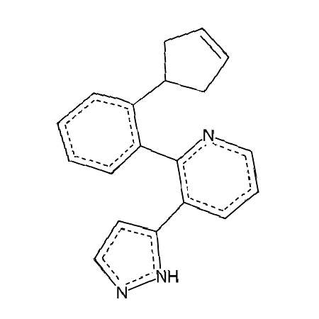 C1=CCC(c2ccccc2-c2ncccc2-c2ccn[nH]2)C1